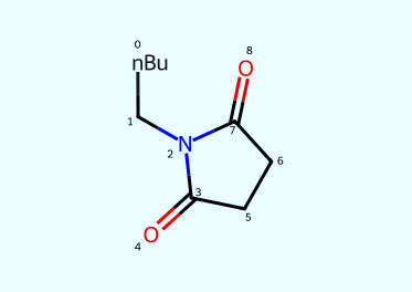 [CH2]CCCCN1C(=O)CCC1=O